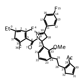 CCc1cc(F)c(C(=O)N2N=C(c3ccc(F)cc3)CC2c2cccc(CCC3=C(C(C)=O)C=CC3)c2OC)c(F)c1